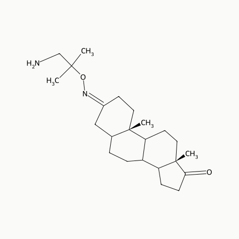 CC(C)(CN)O/N=C1\CC[C@@]2(C)C(CCC3C2CC[C@]2(C)C(=O)CCC32)C1